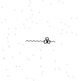 CCCCCCCCCCCCOS(=O)OCCCC